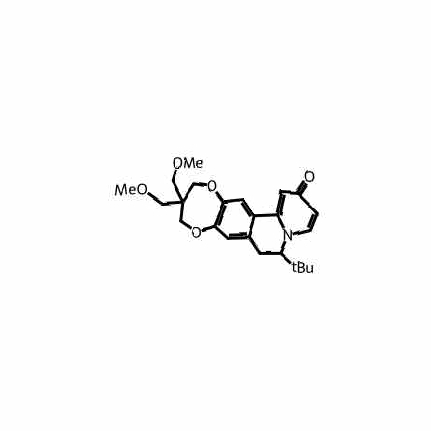 COCC1(COC)COc2cc3c(cc2OC1)-c1cc(=O)ccn1C(C(C)(C)C)C3